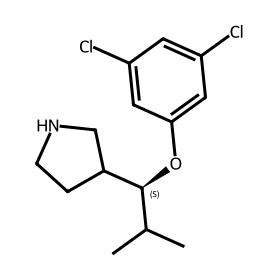 CC(C)[C@H](Oc1cc(Cl)cc(Cl)c1)C1CCNC1